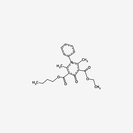 CCCCOC(=O)c1c(C)n(-c2ccccc2)c(C)c(C(=O)OCC)c1=O